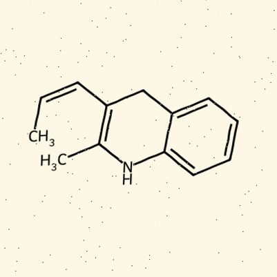 C/C=C\C1=C(C)Nc2ccccc2C1